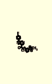 CN(Cc1cccc(S(C)(=O)=O)c1)C(=O)c1cncc2c1cnn2-c1ccc(F)cc1